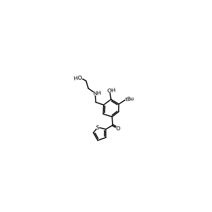 CC(C)(C)c1cc(C(=O)c2cccs2)cc(CNCCO)c1O